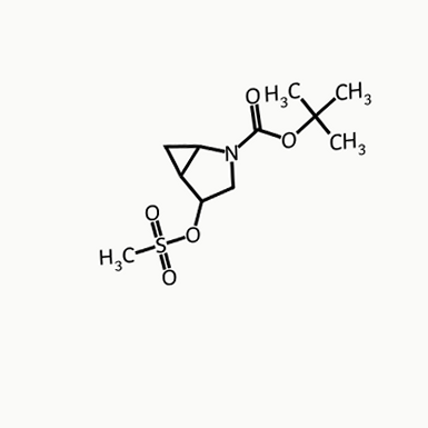 CC(C)(C)OC(=O)N1CC(OS(C)(=O)=O)C2CC21